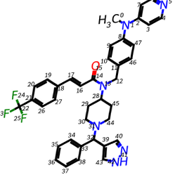 CN(c1ccncc1)c1ccc(CN(C(=O)C=Cc2ccc(C(F)(F)F)cc2)C2CCN(C(c3ccccc3)c3cn[nH]c3)CC2)cc1